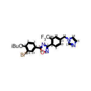 CC(C)COc1ccc(-c2nc(-c3ccc(Cn4ccnc4)cc3C(F)(F)F)no2)cc1Br